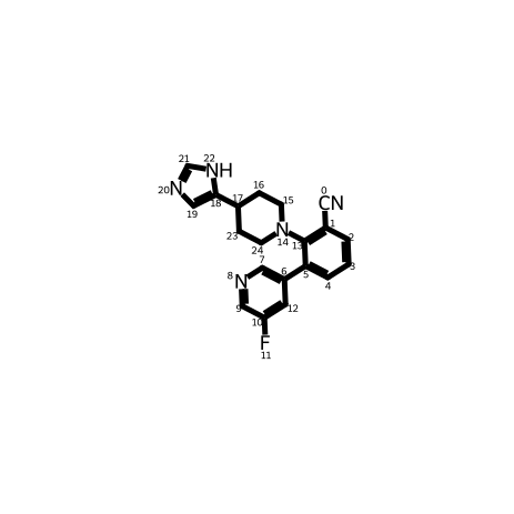 N#Cc1cccc(-c2cncc(F)c2)c1N1CCC(c2cnc[nH]2)CC1